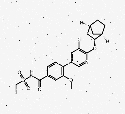 CCS(=O)(=O)NC(=O)c1ccc(-c2cnc(O[C@H]3C[C@H]4CC[C@@H]3C4)c(Cl)c2)c(OC)c1